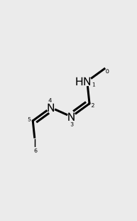 CN/C=N\N=C/I